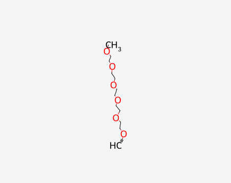 C#COCCOCCOCCOCCOCCOC